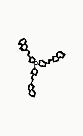 C(=C\c1ccc2ccccc2c1)/c1ccc(P(c2ccc(/C=C/c3ccc4ccccc4c3)cc2)c2ccc(/C=C/c3ccc4ccccc4c3)cc2)cc1